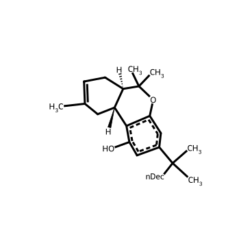 CCCCCCCCCCC(C)(C)c1cc(O)c2c(c1)OC(C)(C)[C@@H]1CC=C(C)C[C@@H]21